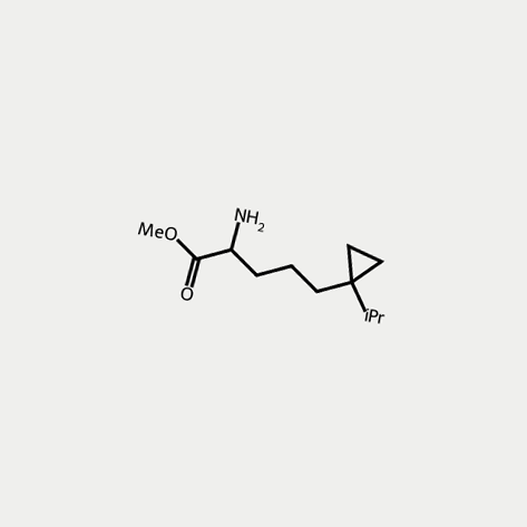 COC(=O)C(N)CCCC1(C(C)C)CC1